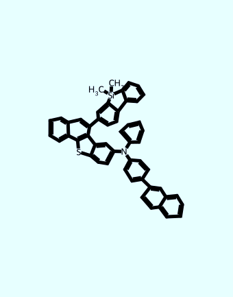 C[Si]1(C)c2ccccc2-c2ccc(-c3cc4ccccc4c4sc5ccc(N(c6ccccc6)c6ccc(-c7ccc8ccccc8c7)cc6)cc5c34)cc21